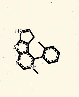 Cc1ccccc1-c1c2c3c(sc2nc[n+]1C)[SH]=CC3